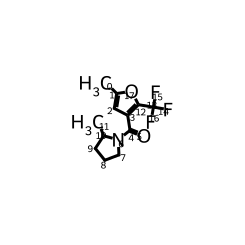 Cc1cc(C(=O)N2CCCC2C)c(C(F)(F)F)o1